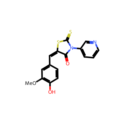 COc1cc(/C=C2/SC(=S)N(c3cccnc3)C2=O)ccc1O